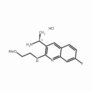 COCCNc1nc2cc(F)ccc2cc1[C@H](C)N.Cl